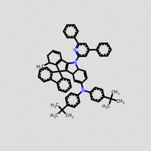 CC1CC=CC2=C1C1(C3=C2N(c2cc(-c4ccccc4)cc(-c4ccccc4)n2)C2C=CC(N(c4ccc(C(C)(C)C)cc4)c4ccc(C(C)(C)C)cc4)=CC32)c2ccccc2-c2ccccc21